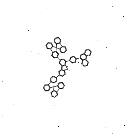 c1ccc2c(c1)-c1ccccc1C21c2ccccc2-c2ccc(-c3ccc4sc5c(-c6ccc(-c7cc8ccccc8c8ccccc78)cc6)cc(-c6ccc7c(c6)C6(c8ccccc8-c8ccccc86)c6ccccc6-7)cc5c4c3)cc21